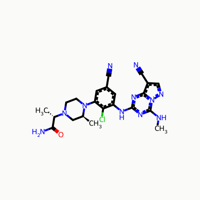 CNc1nc(Nc2cc(C#N)cc(N3CCN([C@@H](C)C(N)=O)C[C@@H]3C)c2Cl)nc2c(C#N)cnn12